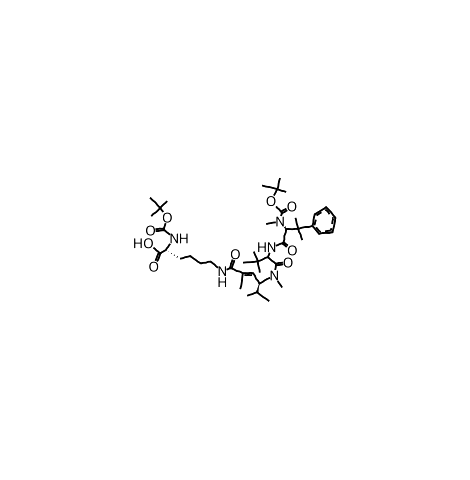 C/C(=C\[C@H](C(C)C)N(C)C(=O)C(NC(=O)[C@@H](N(C)C(=O)OC(C)(C)C)C(C)(C)c1ccccc1)C(C)(C)C)C(=O)NCCCC[C@@H](NC(=O)OC(C)(C)C)C(=O)O